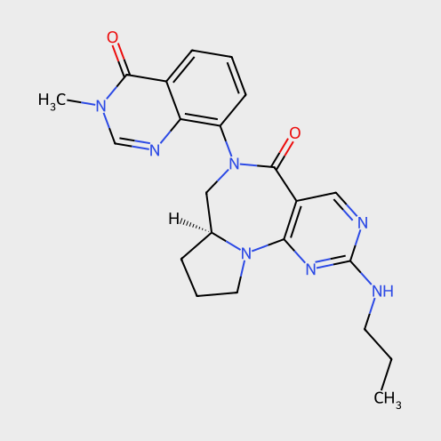 CCCNc1ncc2c(n1)N1CCC[C@H]1CN(c1cccc3c(=O)n(C)cnc13)C2=O